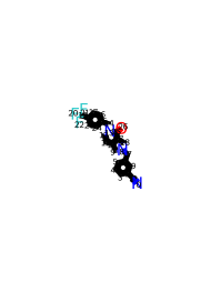 N#Cc1cccc(CN2Cc3ccn(Cc4ccc(C(F)(F)F)cc4)c(=O)c3C2)c1